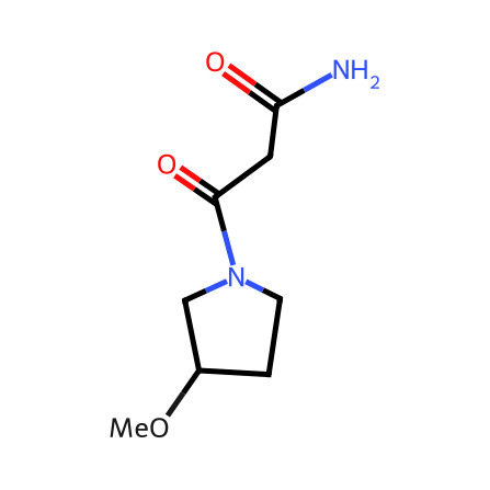 COC1CCN(C(=O)CC(N)=O)C1